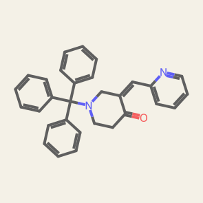 O=C1CCN(C(c2ccccc2)(c2ccccc2)c2ccccc2)CC1=Cc1ccccn1